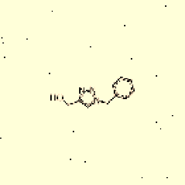 OCc1cn(Cc2ccccc2)nn1